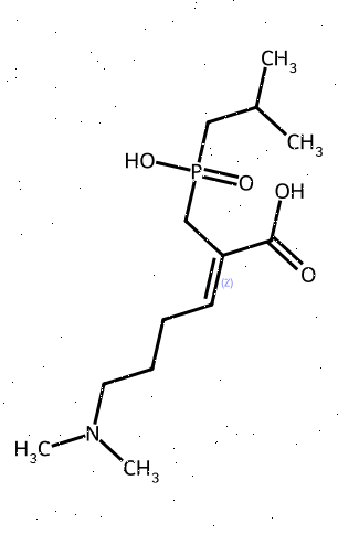 CC(C)CP(=O)(O)C/C(=C\CCCN(C)C)C(=O)O